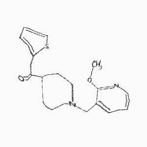 COc1ncccc1CN1CCC(C(=O)c2cccs2)CC1